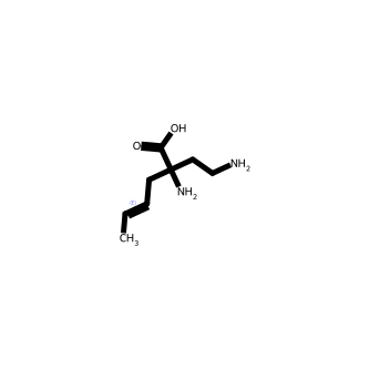 C/C=C/CC(N)(CCN)C(=O)O